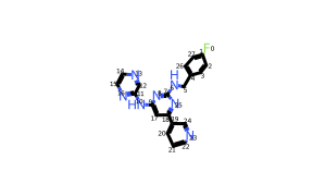 Fc1ccc(CNc2nc(Nc3cnccn3)cc(-c3cccnc3)n2)cc1